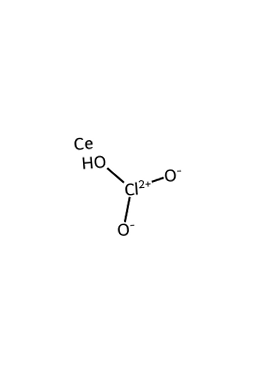 [Ce].[O-][Cl+2]([O-])O